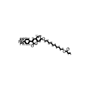 C=CC(=O)OCCCCCCCCCCOc1cc2oc(=O)c(-c3ccc(S(F)(F)(F)(F)F)cc3)cc2cn1